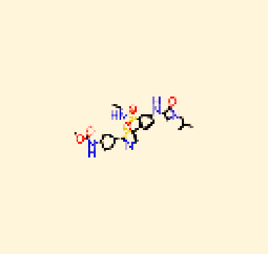 CCNS(=O)(=O)c1cc(N[C@@H]2CN(CC(C)C)C2=O)ccc1-c1cnc([C@H]2CC[C@H](NC(=O)OC)CC2)s1